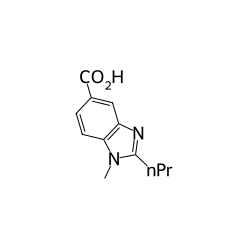 CCCc1nc2cc(C(=O)O)ccc2n1C